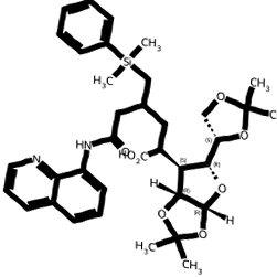 CC1(C)O[C@H]2O[C@@H]([C@@H]3COC(C)(C)O3)[C@H](C(CC(CC(=O)Nc3cccc4cccnc34)C[Si](C)(C)c3ccccc3)C(=O)O)[C@H]2O1